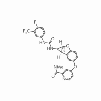 CNC(=O)c1cc(Oc2ccc3c(c2)[C@H]2C(NC(=O)Nc4ccc(F)c(C(F)(F)F)c4)[C@H]2O3)ccn1